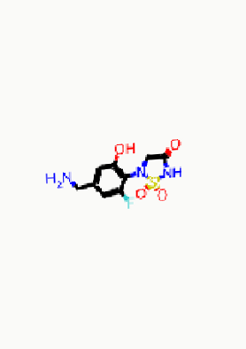 NCc1cc(O)c(N2CC(=O)NS2(=O)=O)c(F)c1